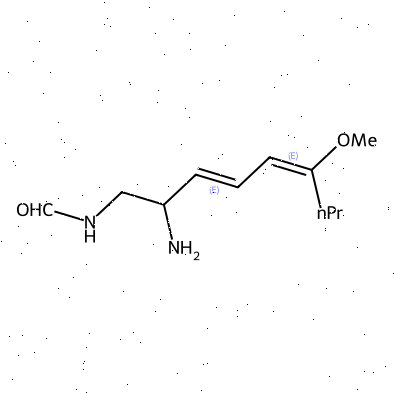 CCC/C(=C\C=C\C(N)CNC=O)OC